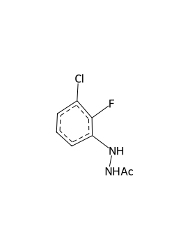 CC(=O)NNc1cccc(Cl)c1F